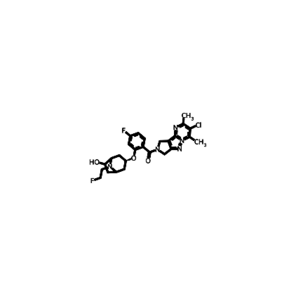 Cc1nc2c3c(nn2c(C)c1Cl)CN(C(=O)c1ccc(F)cc1O[C@H]1CC2CC(O)C(C1)N2CCF)C3